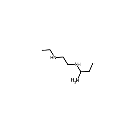 [CH2]CC(N)NCCNCC